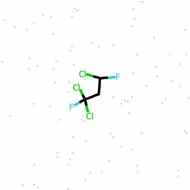 FC(Cl)CC(F)(Cl)Cl